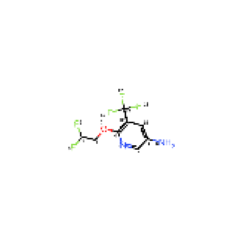 Nc1cnc(OCC(F)F)c(C(F)(F)F)c1